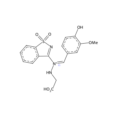 COc1cc(/C=[N+](/NCC(=O)O)C2=NS(=O)(=O)c3ccccc32)ccc1O